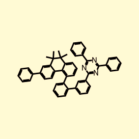 CC1(C)c2cc(-c3ccccc3)ccc2-c2c(-c3ccccc3-c3cccc(-c4nc(-c5ccccc5)nc(-c5ccccc5)n4)c3)cccc2C1(C)C